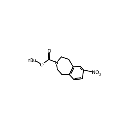 CCCCOC(=O)N1CCc2ccc([N+](=O)[O-])cc2CC1